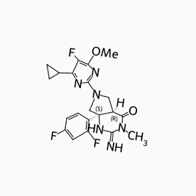 COc1nc(N2C[C@H]3C(=O)N(C)C(=N)N[C@@]3(c3ccc(F)cc3F)C2)nc(C2CC2)c1F